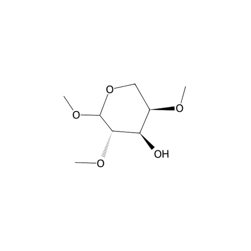 COC1OC[C@@H](OC)[C@@H](O)[C@@H]1OC